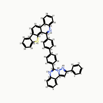 c1ccc(-c2cc3c4ccccc4nc(-c4ccc(-c5ccc(-c6nc7ccccc7c7ccc8c9ccccc9sc8c67)cc5)cc4)n3n2)cc1